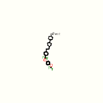 CCCCCC1CCC(C2CCC(CCc3ccc(C(F)(F)Oc4ccc(OC(F)F)cc4)cc3)CC2)CC1